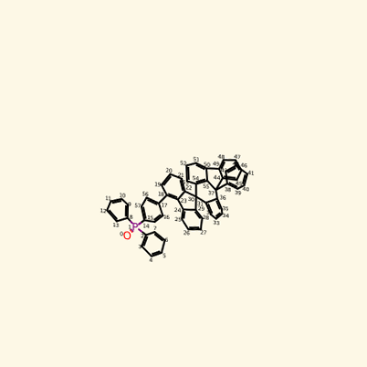 O=P(c1ccccc1)(c1ccccc1)c1ccc(-c2cccc3c2-c2ccccc2C32c3ccccc3C3(c4ccccc4)c4ccccc4-c4cccc2c43)cc1